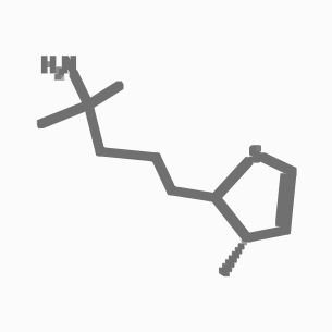 C[C@H]1C=CSC1CCCC(C)(C)N